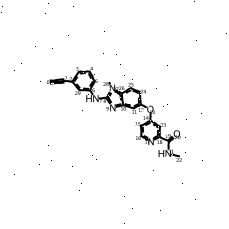 C#Cc1cccc(Nc2nc3cc(Oc4ccnc(C(=O)NC)c4)ccc3n2C)c1